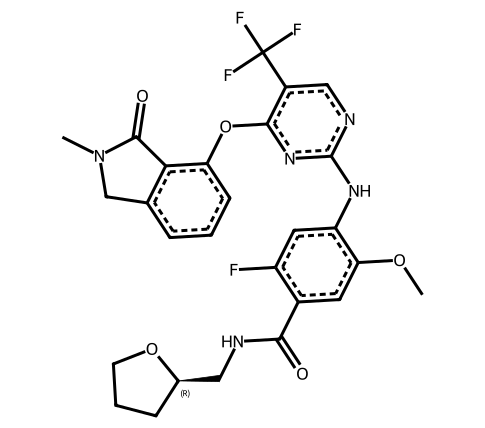 COc1cc(C(=O)NC[C@H]2CCCO2)c(F)cc1Nc1ncc(C(F)(F)F)c(Oc2cccc3c2C(=O)N(C)C3)n1